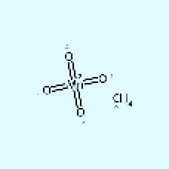 C.[O]=[Mn](=[O])(=[O])=[O]